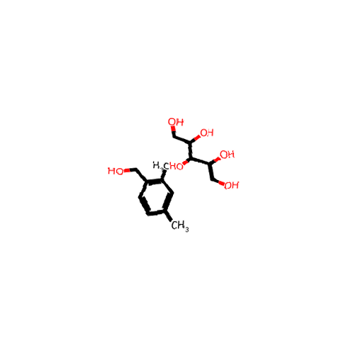 Cc1ccc(CO)c(C)c1.OCC(O)C(O)C(O)CO